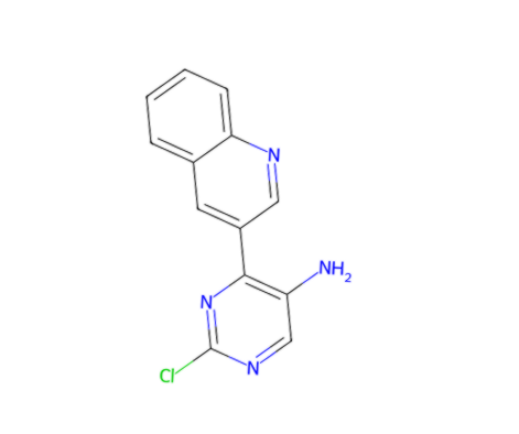 Nc1cnc(Cl)nc1-c1cnc2ccccc2c1